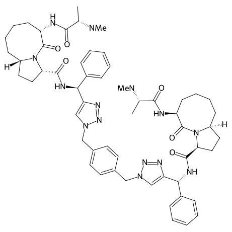 CN[C@@H](C)C(=O)N[C@H]1CCCC[C@H]2CC[C@@H](C(=O)N[C@H](c3ccccc3)c3cn(Cc4ccc(Cn5cc([C@@H](NC(=O)[C@@H]6CC[C@@H]7CCCC[C@H](NC(=O)[C@H](C)NC)C(=O)N76)c6ccccc6)nn5)cc4)nn3)N2C1=O